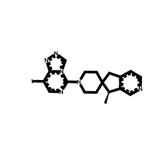 C[C@@H]1c2cnccc2CC12CCN(c1ncc(I)c3nncn13)CC2